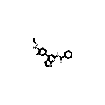 CCSNc1ccc(-c2cc(NC(=O)C3CCCCC3)nc3[nH]ccc23)cc1F